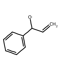 C=CC([O])c1ccccc1